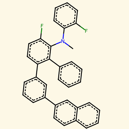 CN(c1ccccc1F)c1c(F)ccc(-c2cccc(-c3ccc4ccccc4c3)c2)c1-c1ccccc1